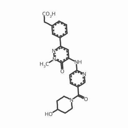 Cn1nc(-c2cccc(CC(=O)O)c2)cc(Nc2ccc(C(=O)N3CCC(O)CC3)cn2)c1=O